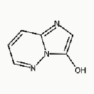 Oc1cnc2cccnn12